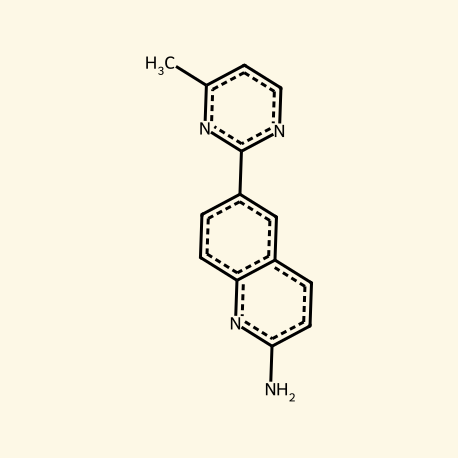 Cc1ccnc(-c2ccc3nc(N)ccc3c2)n1